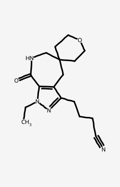 CCn1nc(CCCC#N)c2c1C(=O)NCC1(CCOCC1)C2